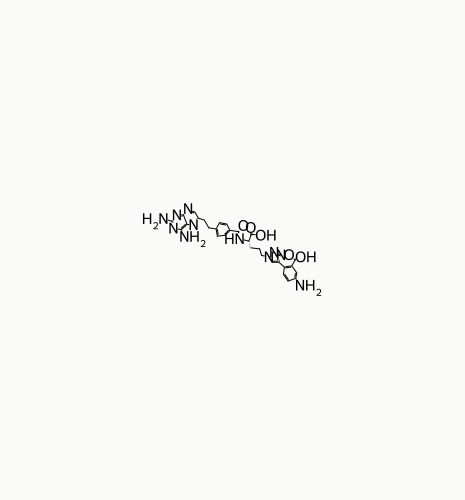 Nc1ccc(-c2cn(CCC[C@H](NC(=O)c3ccc(CCc4cnc5nc(N)nc(N)c5n4)cc3)C(=O)O)nn2)c(C(=O)O)c1